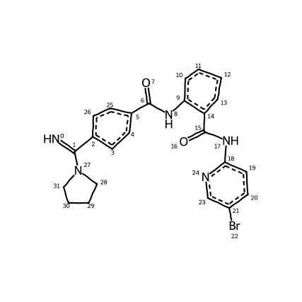 N=C(c1ccc(C(=O)Nc2ccccc2C(=O)Nc2ccc(Br)cn2)cc1)N1CCCC1